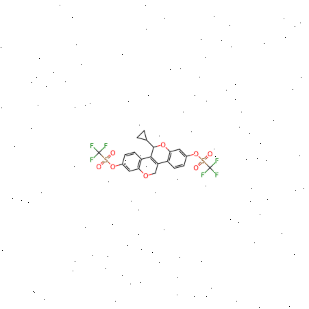 O=S(=O)(Oc1ccc2c(c1)OC(C1CC1)C1=C2COc2cc(OS(=O)(=O)C(F)(F)F)ccc21)C(F)(F)F